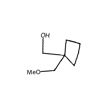 COCC1(CO)CCC1